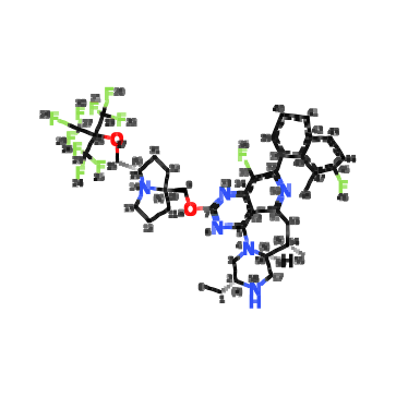 CC[C@@H]1CN2c3nc(OC[C@@]45CCCN4[C@H](COC(C(F)(F)F)(C(F)(F)F)C(F)(F)F)CC5)nc4c(F)c(-c5cccc6ccc(F)c(C)c56)nc(c34)C[C@H](C)[C@H]2CN1